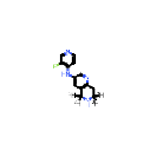 [2H]C1([2H])Cc2ncc(Nc3ccncc3F)cc2C([2H])([2H])N1